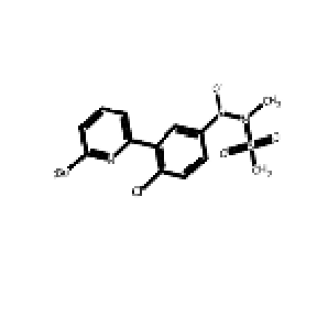 CN([S+]([O-])c1ccc(Cl)c(-c2cccc(C(C)(C)C)n2)c1)S(C)(=O)=O